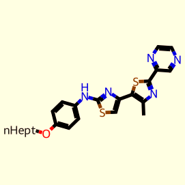 CCCCCCCOc1ccc(Nc2nc(-c3sc(-c4cnccn4)nc3C)cs2)cc1